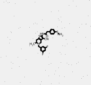 CC1Cc2sc(NC(=O)Cc3ccc(SN)cc3)c(C#N)c2CN1Cc1cc(F)cc(F)c1